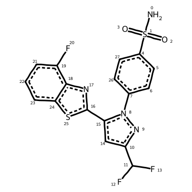 NS(=O)(=O)c1ccc(-n2nc(C(F)F)cc2-c2nc3c(F)cccc3s2)cc1